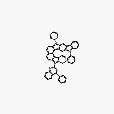 C1=CCC(n2c3cc4c5ccccc5n(-c5ccccc5)c4cc3c3c4c(ccc5c4c4c(n5-c5nc(-c6ccccc6)c6ccccc6n5)CCC=C4)ccc32)C=C1